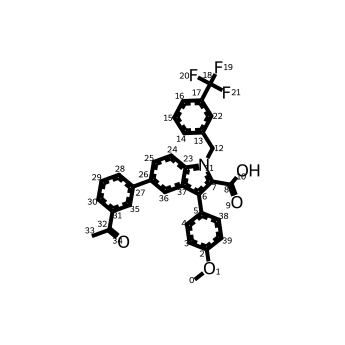 COc1ccc(-c2c(C(=O)O)n(Cc3cccc(C(F)(F)F)c3)c3ccc(-c4cccc(C(C)=O)c4)cc23)cc1